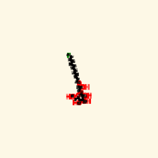 OC[C@H]1O[C@@H](OCC(O)COCCCCCCCCCCCCF)[C@H](O)[C@@H](O)[C@H]1O